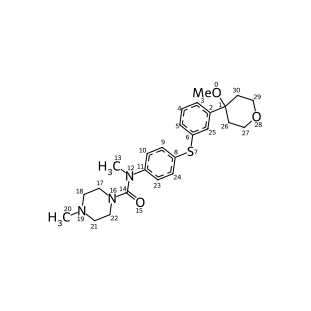 COC1(c2cccc(Sc3ccc(N(C)C(=O)N4CCN(C)CC4)cc3)c2)CCOCC1